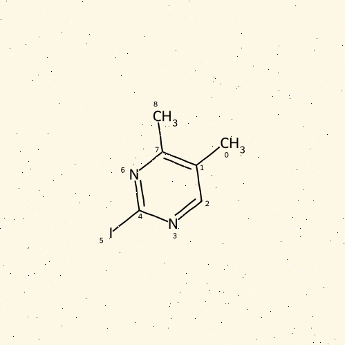 Cc1cnc(I)nc1C